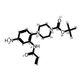 C=CC(=O)Nc1cc(N)ccc1N1CCN(C(=O)OC(C)(C)C)CC1